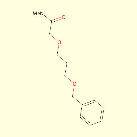 CNC(=O)COCCCOCc1ccccc1